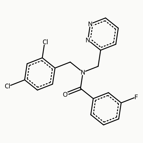 O=C(c1cccc(F)c1)N(Cc1cccnn1)Cc1ccc(Cl)cc1Cl